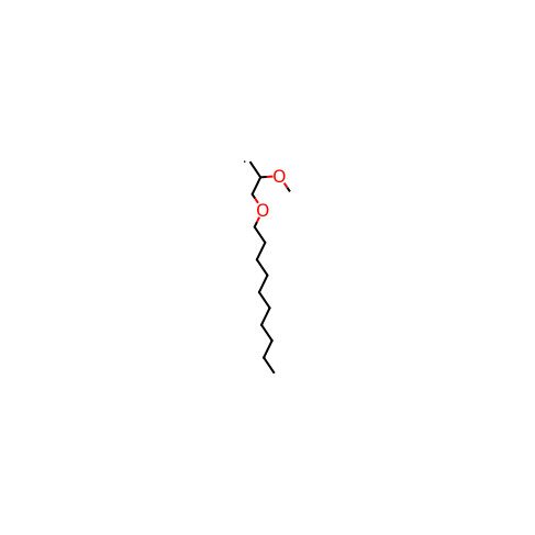 [CH2]C(COCCCCCCCCCC)OC